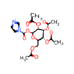 CC(=O)OCC1OC(OC(=O)n2ccnc2)[C@H](OC(C)=O)[C@@H](OC(C)=O)[C@@H]1OC(C)=O